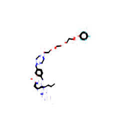 CCCc1nc(N)nc2ccn(Cc3ccc(CN4CCN(C(=O)CCOCCOCCC(=O)Oc5c(F)c(F)c(F)c(F)c5F)CC4)cc3OC)c12